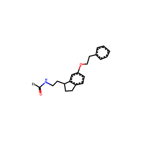 CCC(=O)NCCC1CCc2ccc(OCCc3ccccc3)cc21